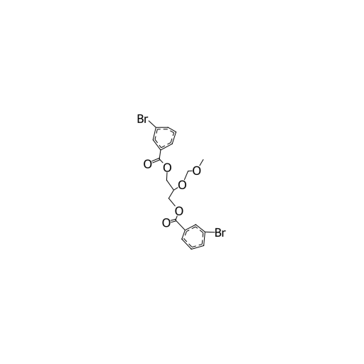 COCOC(COC(=O)c1cccc(Br)c1)COC(=O)c1cccc(Br)c1